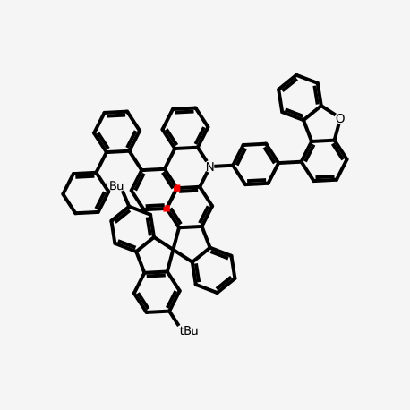 CC(C)(C)c1ccc2c(c1)C1(c3ccccc3-c3cc(N(c4ccc(-c5cccc6oc7ccccc7c56)cc4)c4ccccc4-c4ccccc4-c4ccccc4C4=CCCC=C4)ccc31)c1cc(C(C)(C)C)ccc1-2